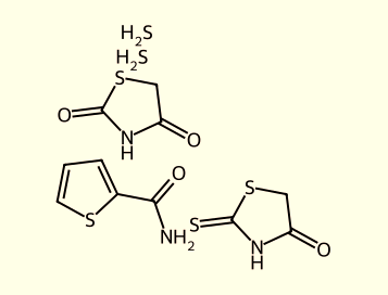 NC(=O)c1cccs1.O=C1CSC(=O)N1.O=C1CSC(=S)N1.S.S